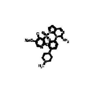 COc1cnc(Cl)c(S(=O)(=O)n2ccc3c2N(c2ccc(N4CCN(C)CC4)cc2)C(N)N=C3)c1Cl